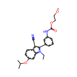 CCn1c(-c2cccc(NC(=O)OCCOC)c2)c(C#N)c2ccc(OC(C)C)cc21